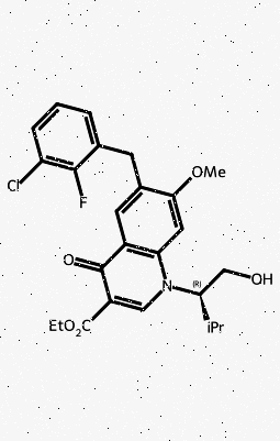 CCOC(=O)c1cn([C@@H](CO)C(C)C)c2cc(OC)c(Cc3cccc(Cl)c3F)cc2c1=O